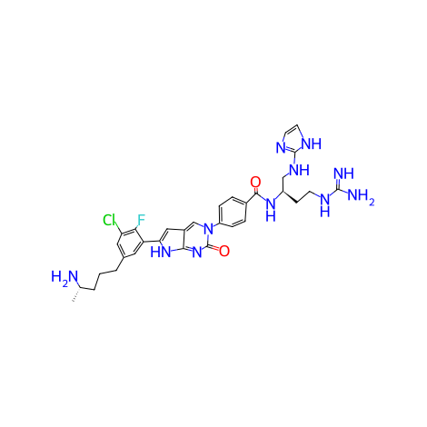 C[C@H](N)CCCc1cc(Cl)c(F)c(-c2cc3cn(-c4ccc(C(=O)N[C@H](CCNC(=N)N)CNc5ncc[nH]5)cc4)c(=O)nc3[nH]2)c1